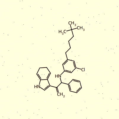 C=C(c1c[nH]c2c1=CCCC=2)C(Nc1cc(Cl)cc(CCCCC(C)(C)C)c1)c1ccccc1